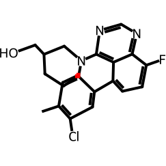 Cc1ccc(-c2ccc(F)c3ncnc(N4CCCC(CO)C4)c23)cc1Cl